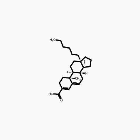 CCCCCC[C@@]12CCC[C@H]1[C@@H]1CC=C3C=C(C(=O)O)CC[C@]3(C)[C@H]1CC2